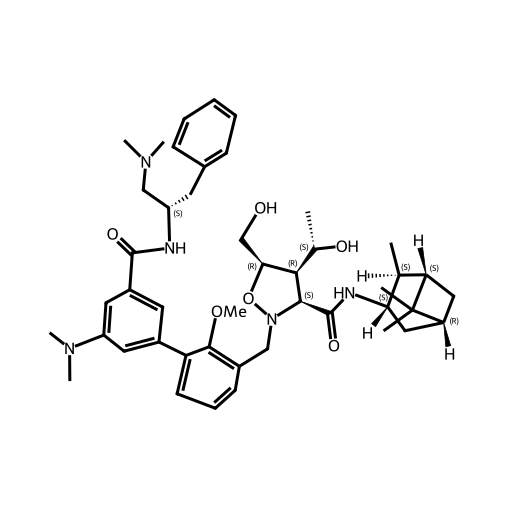 COc1c(CN2O[C@@H](CO)[C@@H]([C@H](C)O)[C@H]2C(=O)N[C@H]2C[C@H]3C[C@@H]([C@@H]2C)C3(C)C)cccc1-c1cc(C(=O)N[C@@H](Cc2ccccc2)CN(C)C)cc(N(C)C)c1